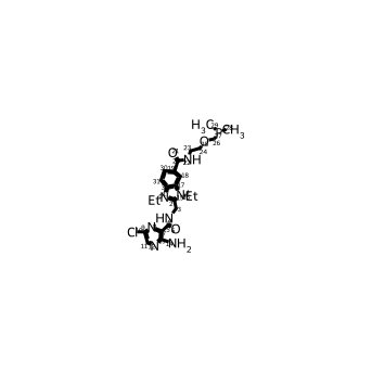 CCn1c(CNC(=O)c2nc(Cl)cnc2N)[n+](CC)c2cc(C(=O)NCCOCP(C)C)ccc21